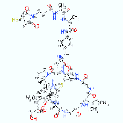 CC[C@H](C)[C@@H]1NC(=O)CNC(=O)[C@H]2Cc3c([nH]c4ccccc34)SC[C@H](NC(=O)CNC1=O)C(=O)N[C@@H](CC(=O)NCc1ccc(NC(=O)[C@H](C)NC(=O)[C@H](C)NC(=O)CCN3C(=O)CC(S)C3=O)cc1)C(=O)N1CCC[C@H]1CC[C@@H]([C@@H](C)[C@@H](O)CO)C(=O)N2